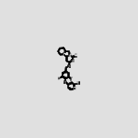 O=c1nc(OCc2cc(F)c(Oc3ccnc(Cl)c3)c(F)c2)cc2n1CC1CCCCN21